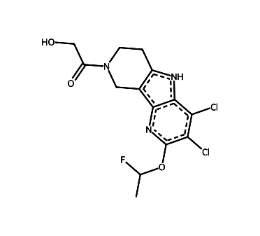 CC(F)Oc1nc2c3c([nH]c2c(Cl)c1Cl)CCN(C(=O)CO)C3